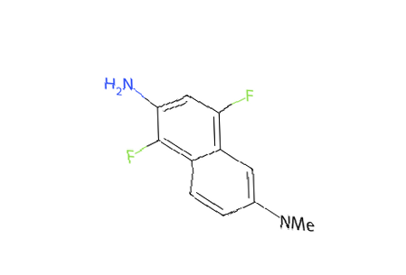 CNc1ccc2c(F)c(N)cc(F)c2c1